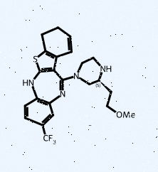 COCC[C@H]1CN(C2=Nc3cc(C(F)(F)F)ccc3Nc3sc4c(c32)C=CCC4)CCN1